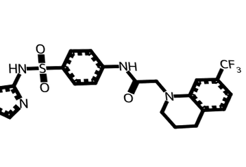 O=C(CN1CCCc2ccc(C(F)(F)F)cc21)Nc1ccc(S(=O)(=O)Nc2nccs2)cc1